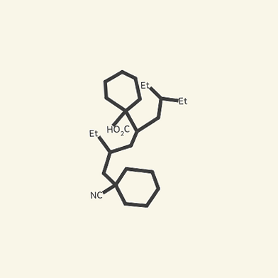 CCC(CC)CC(CC(CC)CC1(C#N)CCCCC1)C1(C(=O)O)CCCCC1